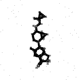 Cc1cc2c(nc1N1CCC(OCC3(C)CC3)C3CC31)CNC2=O